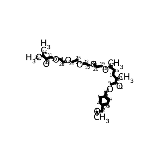 COCc1ccc(COCC(=O)C(C)CCC(C)OCCOCCOCCOCCOCC(=O)C(C)C)cc1